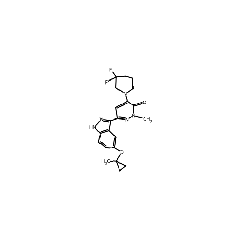 Cn1nc(-c2n[nH]c3ccc(OC4(C)CC4)cc23)cc(N2CCCC(F)(F)C2)c1=O